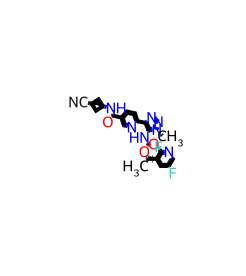 C[C@@H](OC(=O)Nc1c(-c2ccc(C(=O)NC34CC(C#N)(C3)C4)cn2)nnn1C)c1cc(F)cnc1F